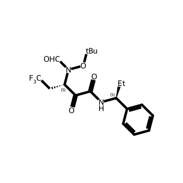 CC[C@H](NC(=O)C(=O)[C@H](CC(F)(F)F)N(C=O)OC(C)(C)C)c1ccccc1